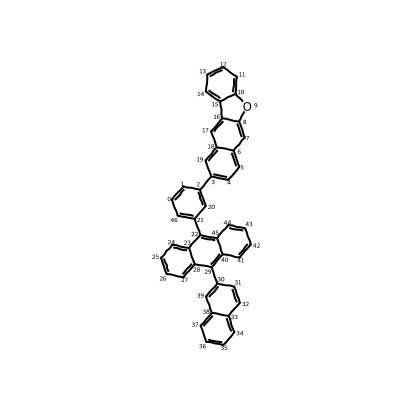 c1cc(-c2ccc3cc4oc5ccccc5c4cc3c2)cc(-c2c3ccccc3c(-c3ccc4ccccc4c3)c3ccccc23)c1